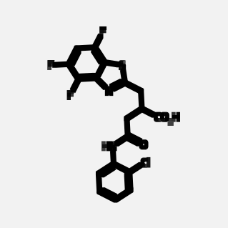 O=C(CC(Cc1nc2c(F)c(F)cc(F)c2s1)C(=O)O)Nc1ccccc1Cl